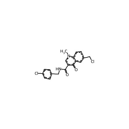 Cn1cc(C(=O)NCc2ccc(Cl)cc2)c(=O)c2cc(CCl)ccc21